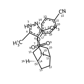 Cc1n[nH]c(C)c1S(=O)(=O)N1C2CC[C@H]1CC(Oc1ccc(C#N)cc1)C2